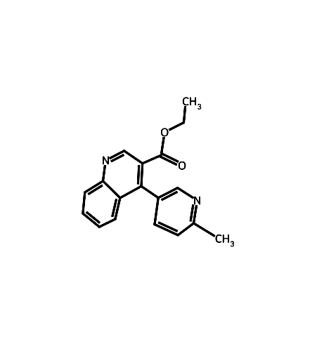 CCOC(=O)c1cnc2ccccc2c1-c1ccc(C)nc1